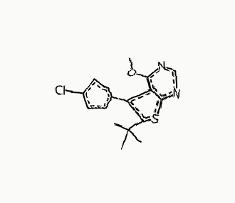 COc1ncnc2sc(C(C)(C)C)c(-c3ccc(Cl)cc3)c12